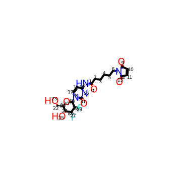 O=C(CCCCCN1C(=O)C=CC1=O)Nc1ccn([C@@H]2O[C@H](CO)C(O)[C@H](F)C2F)c(=O)n1